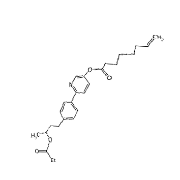 C=CCCCCCC(=O)Oc1ccc(-c2ccc(CCC(C)OC(=O)CC)cc2)nc1